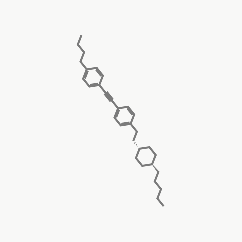 CCCCC[C@H]1CC[C@H](CCc2ccc(C#Cc3ccc(CCCC)cc3)cc2)CC1